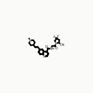 CN1CCC(/C=C/c2ccc3nccc(C(=O)NCC(=O)N4CC(F)(F)CC4C#N)c3c2)CC1